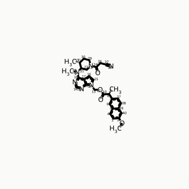 COc1ccc2cc([C@H](C)C(=O)OCn3ccc4c(N(C)C5CN(C(=O)CC#N)CC[C@H]5C)ncnc43)ccc2c1